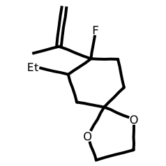 C=C(C)C1(F)CCC2(CC1CC)OCCO2